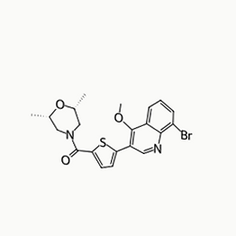 COc1c(-c2ccc(C(=O)N3C[C@@H](C)O[C@@H](C)C3)s2)cnc2c(Br)cccc12